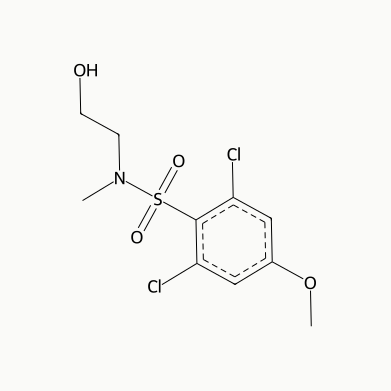 COc1cc(Cl)c(S(=O)(=O)N(C)CCO)c(Cl)c1